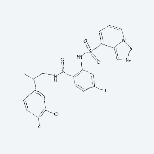 CC(CNC(=O)c1ccc(I)cc1NS(=O)(=O)C1=CC=CN2SNC=C12)c1ccc(Cl)c(Cl)c1